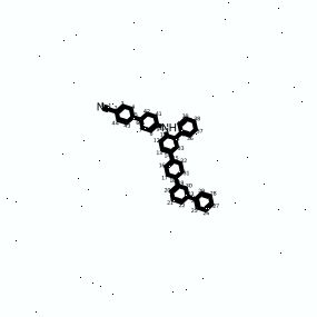 N#CC1=CCC(C2CC=C(NC3CC=C(C4=CCC(C5=CC=CC(c6ccccc6)C5)CC4)CC3C3=CCCC=C3)CC2)C=C1